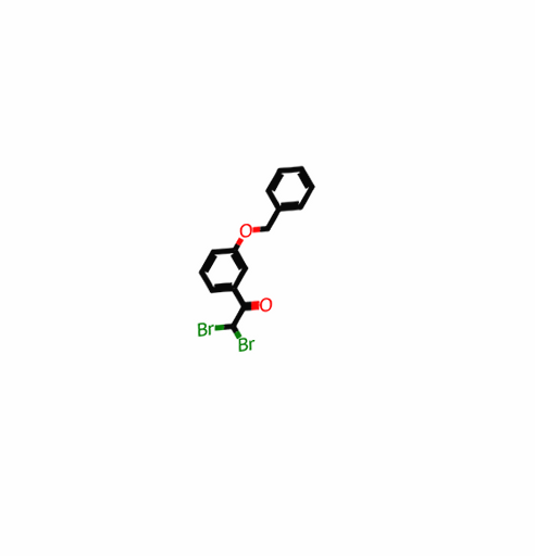 O=C(c1cccc(OCc2ccccc2)c1)C(Br)Br